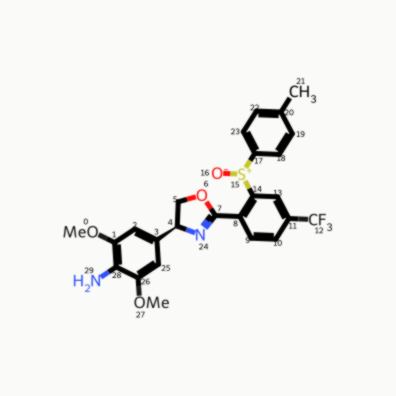 COc1cc([C@H]2COC(c3ccc(C(F)(F)F)cc3[S+]([O-])c3ccc(C)cc3)=N2)cc(OC)c1N